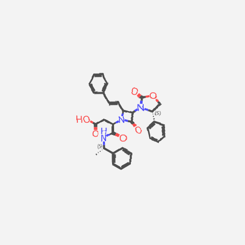 C[C@H](NC(=O)C(CC(=O)O)N1C(=O)C(N2C(=O)OC[C@@H]2c2ccccc2)C1C=Cc1ccccc1)c1ccccc1